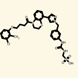 Cc1c(Cl)cccc1OCCCC(=O)N1CCSc2c(-c3cnn(Cc4cccc(NC(=O)NCS(=O)(=O)O)c4)c3)cccc21